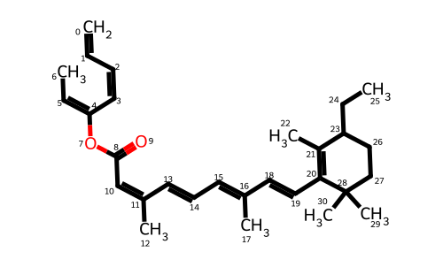 C=C/C=C\C(=C/C)OC(=O)\C=C(C)/C=C/C=C(C)/C=C/C1=C(C)C(CC)CCC1(C)C